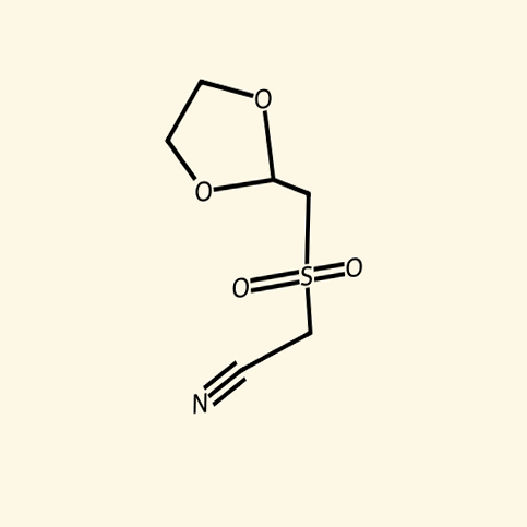 N#CCS(=O)(=O)CC1OCCO1